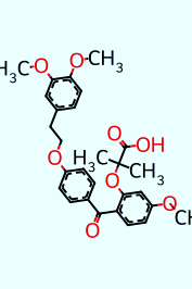 COc1ccc(C(=O)c2ccc(OCCc3ccc(OC)c(OC)c3)cc2)c(OC(C)(C)C(=O)O)c1